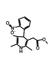 COC(=O)CC1=C(C)NC(C)=C(C)C1c1ccccc1[N+](=O)[O-]